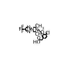 C[C@@H]1CN(c2ncc(C(F)(F)F)cn2)C[C@H](C)N1CCOc1cc(CC(=O)O)ccc1Cl